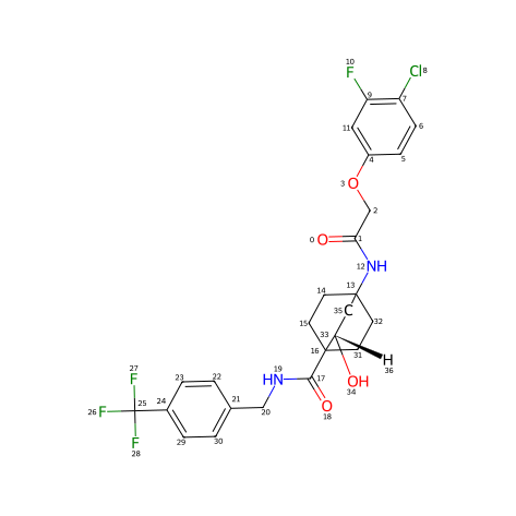 O=C(COc1ccc(Cl)c(F)c1)NC12CCC(C(=O)NCc3ccc(C(F)(F)F)cc3)(CC1)[C@@H](O)C2